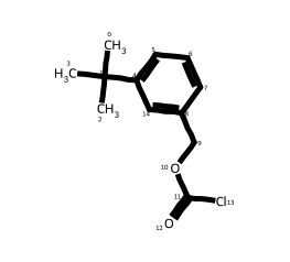 CC(C)(C)c1cccc(COC(=O)Cl)c1